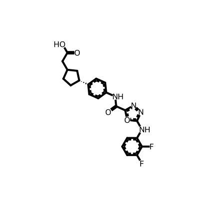 O=C(O)CC1CC[C@@H](c2ccc(NC(=O)c3nnc(Nc4cccc(F)c4F)o3)cc2)C1